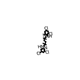 CC(C)(CCC(C)(C)c1nc2cc(Cl)cc(Cl)c2[nH]1)c1nc2c(Cl)cc(Cl)cc2[nH]1